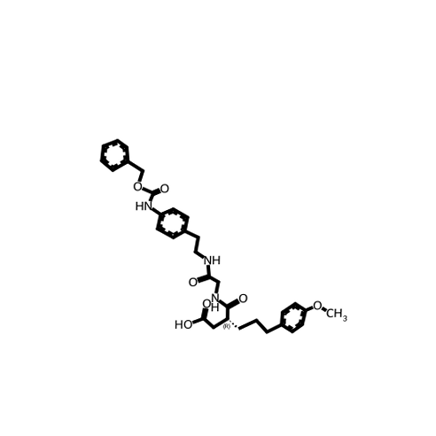 COc1ccc(CCC[C@H](CC(=O)O)C(=O)NCC(=O)NCCc2ccc(NC(=O)OCc3ccccc3)cc2)cc1